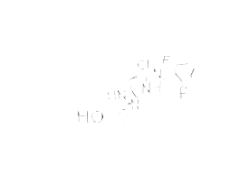 OCCOc1nc2nc(NCc3c(F)cccc3F)c(Cl)cc2[nH]1